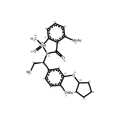 COc1ccc([C@@H](CC#N)N2C(=O)c3c(NC(C)=O)cccc3[SH]2(C)=O)cc1OC1CCCC1